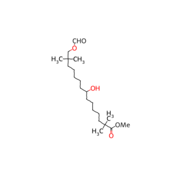 COC(=O)C(C)(C)CCCCCC(O)CCCCCC(C)(C)COC=O